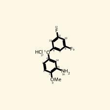 COc1ccc(Oc2cc(F)cc(F)c2)cc1N.Cl